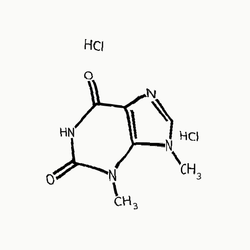 Cl.Cl.Cn1cnc2c(=O)[nH]c(=O)n(C)c21